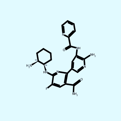 NC(=O)c1cc(F)c(N[C@@H]2CCCC[C@@H]2N)nc1-c1cnc(N)c(NC(=O)c2ccccn2)c1